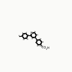 Cc1ccc(-c2cc(-c3ccc(C(=O)O)cc3)ccn2)cc1